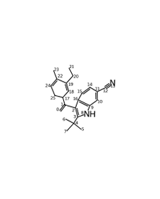 C=C(c1c(C(C)(C)C)[nH]c2cc(C#N)ccc12)C1C=C(CC)C(C)=CC1